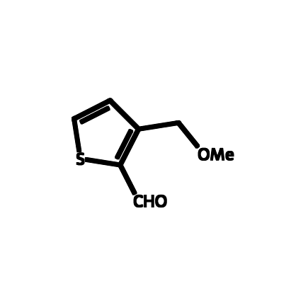 COCc1ccsc1C=O